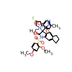 CNC(=O)[C@@H]1C[C@@H](F)C[N+]1(C)C1(c2ccccc2O)C(=O)N(S(=O)(=O)c2ccc(OC)cc2OC)c2cc3c(cc21)CCC3